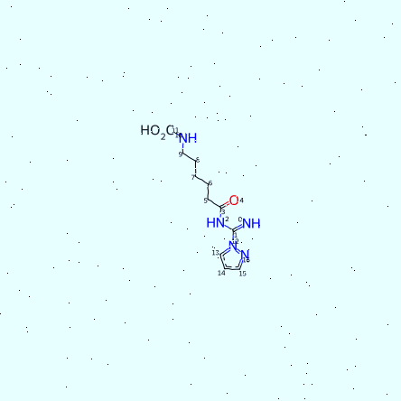 N=C(NC(=O)CCCCCNC(=O)O)n1cccn1